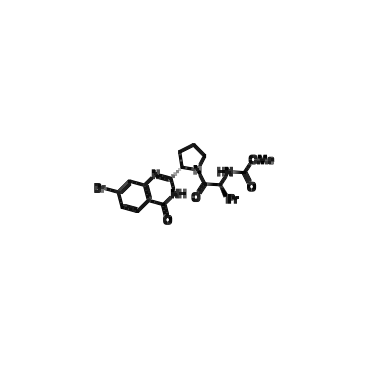 COC(=O)N[C@H](C(=O)N1CCC[C@H]1c1nc2cc(Br)ccc2c(=O)[nH]1)C(C)C